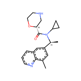 Cc1cc([C@H](C)N(C(=O)[C@H]2CNCCO2)C2CC2)cc2cccnc12